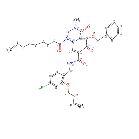 C=CCCCCCCC(=O)N1CN(C)C(=O)c2c(OCc3ccccc3)c(=O)c(C(=O)NCc3ccc(F)cc3OCCC=C)cn21